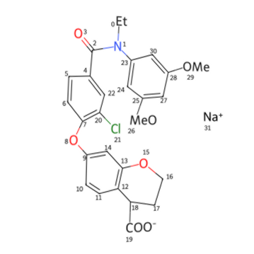 CCN(C(=O)c1ccc(Oc2ccc3c(c2)OCCC3C(=O)[O-])c(Cl)c1)c1cc(OC)cc(OC)c1.[Na+]